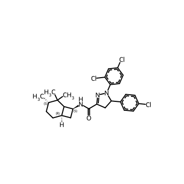 C[C@H]1CC[C@@H]2C[C@H](NC(=O)C3=NN(c4ccc(Cl)cc4Cl)C(c4ccc(Cl)cc4)C3)C2C1(C)C